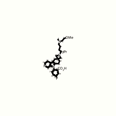 COCCN(C)CCC[C@H](C(C)C)N1CC2(CCc3c(c4ccncc4n3-c3ccc(F)cc3C(=O)O)C2)C1